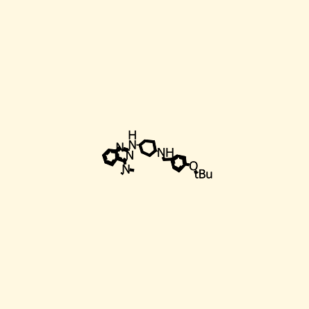 CN(C)c1nc(N[C@H]2CC[C@@H](NCc3ccc(OC(C)(C)C)cc3)CC2)nc2ccccc12